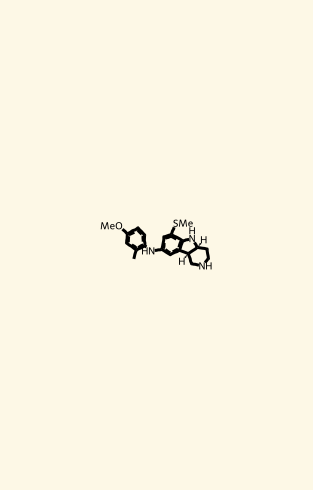 COc1ccc(Nc2cc(SC)c3c(c2)[C@@H]2CNCC[C@@H]2N3)c(C)c1